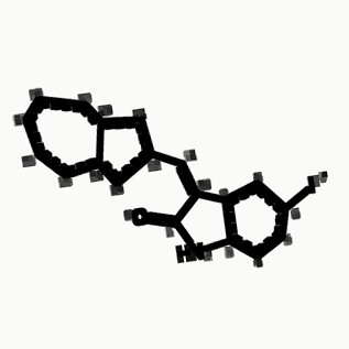 O=C1Nc2ccc(F)cc2C1=Cc1cc2cccccc-2c1